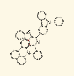 c1ccc(-n2c3ccccc3c3cc(-c4nc(-c5ccccc5N5c6ccccc6-c6cccc7cccc5c67)nc5c4sc4ccccc45)ccc32)cc1